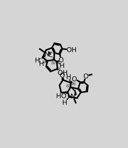 CN1CC[C@]23c4c5ccc(O)c4O[C@H]2[C@@H](O)C=C[C@H]3[C@H]1C5.COc1ccc2c3c1O[C@H]1C(=O)CC[C@@]4(O)[C@@H](C2)N(C)CC[C@]314